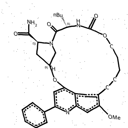 CCCC[C@@H]1NC(=O)OCCCCCc2cc3c(cc(-c4ccccc4)nc3cc2OC)O[C@@H]2C[C@@H](C(N)=O)N(C2)C1=O